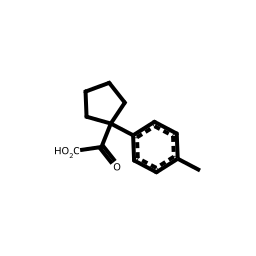 Cc1ccc(C2(C(=O)C(=O)O)CCCC2)cc1